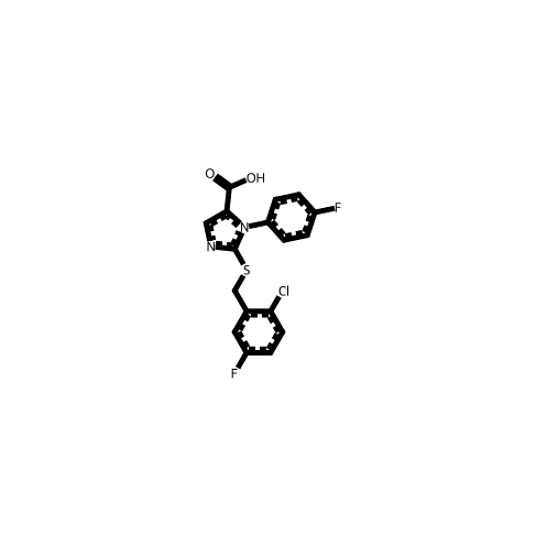 O=C(O)c1cnc(SCc2cc(F)ccc2Cl)n1-c1ccc(F)cc1